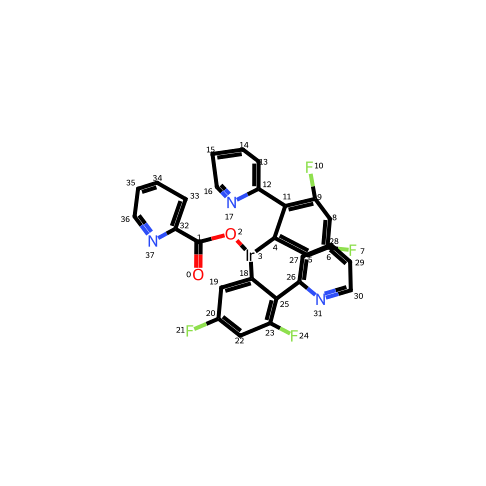 O=C([O][Ir]([c]1cc(F)cc(F)c1-c1ccccn1)[c]1cc(F)cc(F)c1-c1ccccn1)c1ccccn1